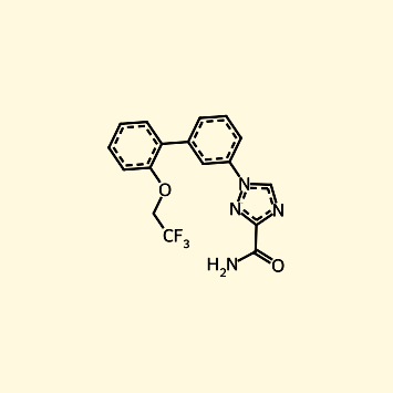 NC(=O)c1ncn(-c2cccc(-c3ccccc3OCC(F)(F)F)c2)n1